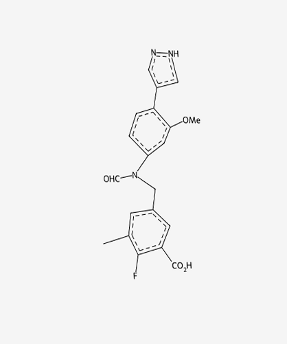 COc1cc(N(C=O)Cc2cc(C)c(F)c(C(=O)O)c2)ccc1-c1cn[nH]c1